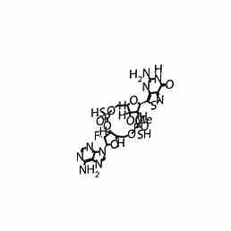 CO[C@H]1[C@H]2O[P@](=O)(S)OC[C@H]3O[C@@H](n4cnc5c(N)ncnc54)[C@H](F)[C@@H]3O[P@@](=O)(S)OC[C@H]1O[C@H]2c1snc2c(=O)[nH]c(N)nc12